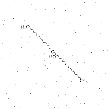 CCCCCCCCCCCCCCCCOCC(O)CCCCCCCCCCCCCCCC